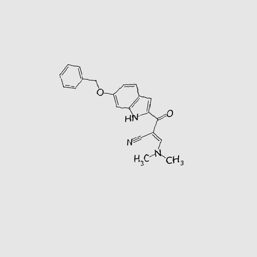 CN(C)C=C(C#N)C(=O)c1cc2ccc(OCc3ccccc3)cc2[nH]1